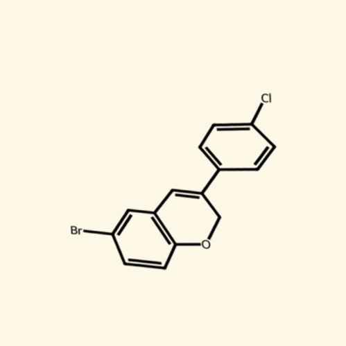 Clc1ccc(C2=Cc3cc(Br)ccc3OC2)cc1